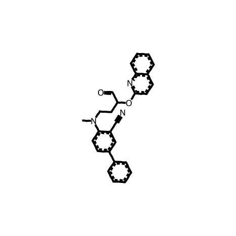 CN(CCC(C=O)Oc1ccc2ccccc2n1)c1ccc(-c2ccccc2)cc1C#N